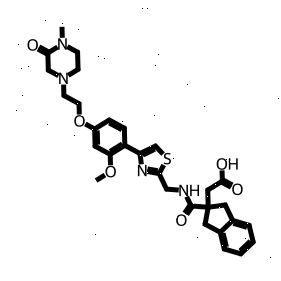 COc1cc(OCCN2CCN(C)C(=O)C2)ccc1-c1csc(CNC(=O)C2(CC(=O)O)Cc3ccccc3C2)n1